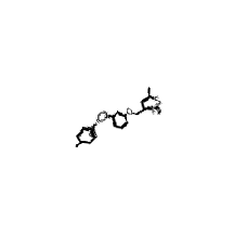 Cc1ccc(Oc2cccc(OCc3cc(C)sn3)c2)cc1